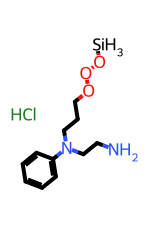 Cl.NCCN(CCCOOO[SiH3])c1ccccc1